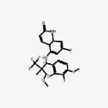 COCC(C)([C@@H](NC1=CC(F)=CC2NC(=O)C=CC12)c1ccc(OC)c(F)c1Cl)C(F)(F)F